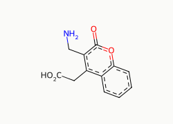 NCc1c(CC(=O)O)c2ccccc2oc1=O